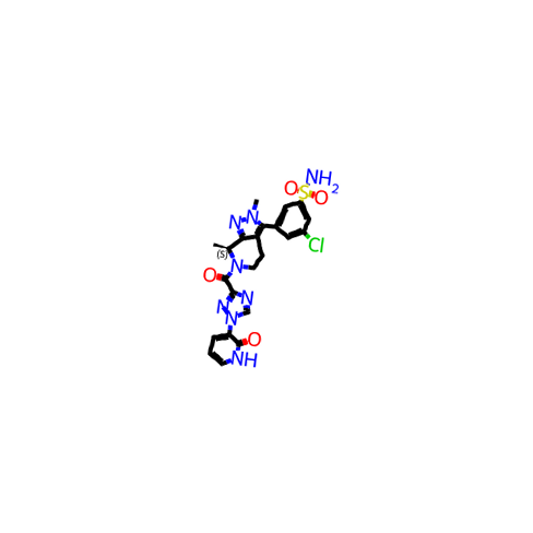 C[C@H]1c2nn(C)c(-c3cc(Cl)cc(S(N)(=O)=O)c3)c2CCN1C(=O)c1ncn(-c2ccc[nH]c2=O)n1